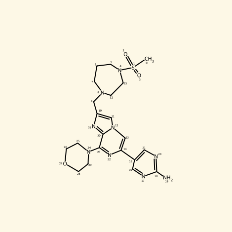 CS(=O)(=O)N1CCCN(Cc2cn3cc(-c4cnc(N)nc4)nc(N4CCOCC4)c3n2)CC1